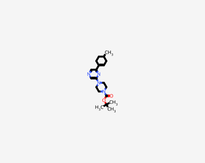 CC1CC=C(c2cncc(N3CCN(C(=O)OC(C)(C)C)CC3)n2)CC1